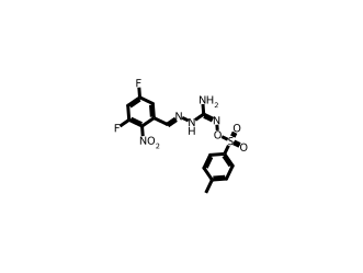 Cc1ccc(S(=O)(=O)ON=C(N)NN=Cc2cc(F)cc(F)c2[N+](=O)[O-])cc1